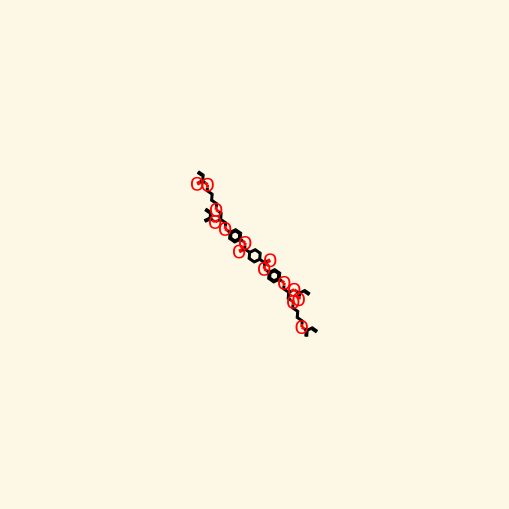 C=CC(=C)OCCCCOCC(COc1ccc(OC(=O)C2CCC(C(=O)Oc3ccc(OCC(COCCCCOC(=O)C=C)OC(=C)C=C)cc3)CC2)cc1)OC(=O)C=C